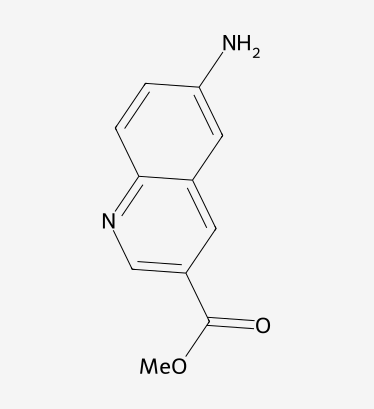 COC(=O)c1cnc2ccc(N)cc2c1